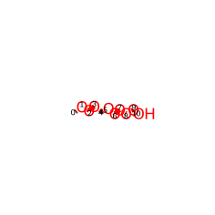 COOOCOOOOOO